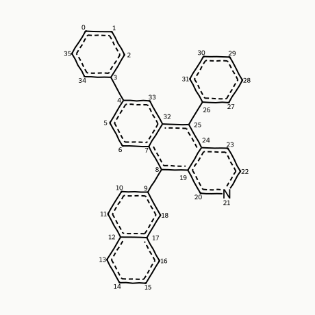 c1ccc(-c2ccc3c(-c4ccc5ccccc5c4)c4cnccc4c(-c4ccccc4)c3c2)cc1